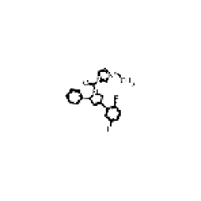 CC[n+]1ccn(C(=O)N2CC(c3cc(F)ccc3F)=C[C@H]2c2ccccc2)c1